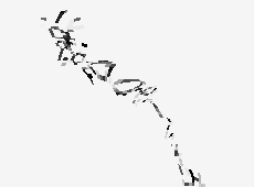 CCCCCCCCCCC1COC(c2ccc(-c3ccc(-c4cc(F)c(C(F)(F)Oc5cc(F)c(F)c(F)c5)c(F)c4)c(F)c3)cc2)OC1